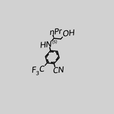 CCC[C@@H](CO)Nc1ccc(C#N)c(C(F)(F)F)c1